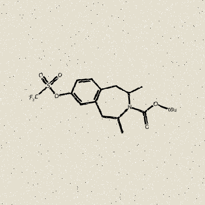 CC1Cc2ccc(OS(=O)(=O)C(F)(F)F)cc2CC(C)N1C(=O)OC(C)(C)C